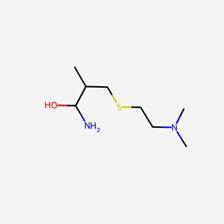 CC(CSCCN(C)C)C(N)O